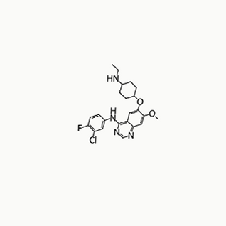 CCNC1CCC(Oc2cc3c(Nc4ccc(F)c(Cl)c4)ncnc3cc2OC)CC1